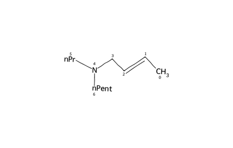 CC=CCN(CCC)CCCCC